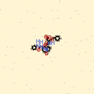 O=C(Nc1ccccc1)NN1CCC(=O)N2CCC[C@@H](C(=O)N[C@H]3CC(=O)OC3OCc3ccccc3)N2C1=O